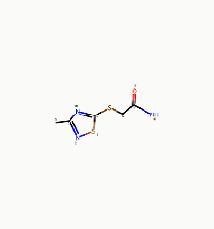 Cc1nsc(SCC([NH])=O)n1